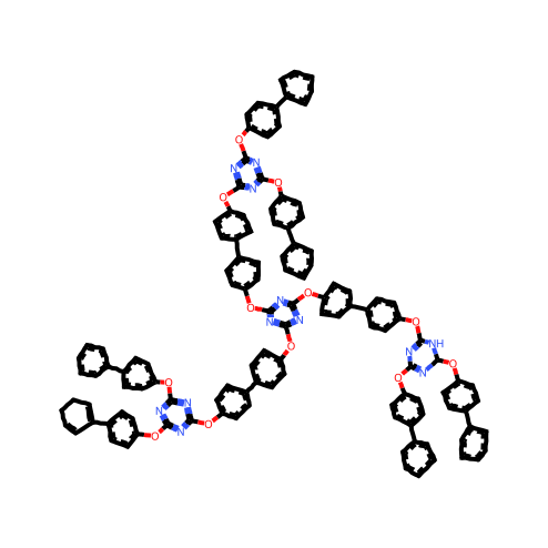 C1=CC(c2ccc(Oc3nc(Oc4ccc(-c5ccccc5)cc4)nc(Oc4ccc(-c5ccc(Oc6nc(Oc7ccc(-c8ccc(OC9=NC(Oc%10ccc(-c%11ccccc%11)cc%10)=NC(Oc%10ccc(-c%11ccccc%11)cc%10)N9)cc8)cc7)nc(Oc7ccc(-c8ccc(Oc9nc(Oc%10ccc(-c%11ccccc%11)cc%10)nc(Oc%10ccc(-c%11ccccc%11)cc%10)n9)cc8)cc7)n6)cc5)cc4)n3)cc2)=CCC1